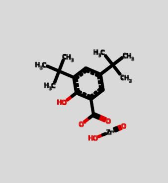 CC(C)(C)c1cc(C(=O)[O-])c(O)c(C(C)(C)C)c1.[O]=[Zr+][OH]